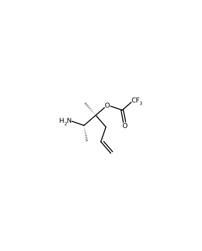 C=CC[C@](C)(OC(=O)C(F)(F)F)[C@H](C)N